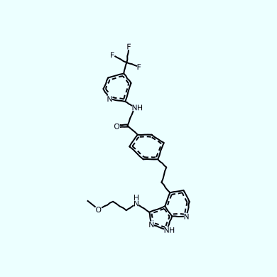 COCCNc1n[nH]c2nccc(CCc3ccc(C(=O)Nc4cc(C(F)(F)F)ccn4)cc3)c12